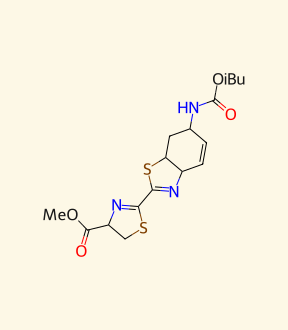 COC(=O)C1CSC(C2=NC3C=CC(NC(=O)OCC(C)C)CC3S2)=N1